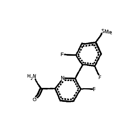 CSc1cc(F)c(-c2nc(C(N)=O)ccc2F)c(F)c1